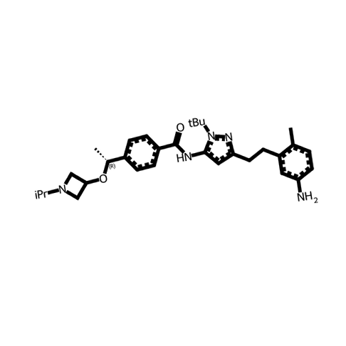 Cc1ccc(N)cc1CCc1cc(NC(=O)c2ccc([C@@H](C)OC3CN(C(C)C)C3)cc2)n(C(C)(C)C)n1